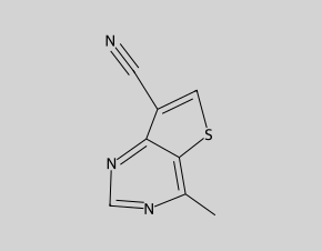 Cc1ncnc2c(C#N)csc12